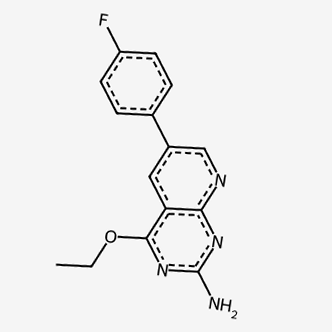 CCOc1nc(N)nc2ncc(-c3ccc(F)cc3)cc12